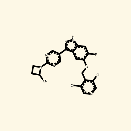 N#CC1CCN1c1ncc(-c2n[nH]c3cc(F)c(OCc4c(Cl)cncc4Cl)cc23)cn1